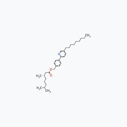 CCCCCCCCCc1ccc(-c2ccc(COC(=O)C[C@@H](C)CCCC(C)C)cc2)nc1